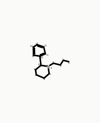 CCCCN1CCCC[C]1c1ccccc1